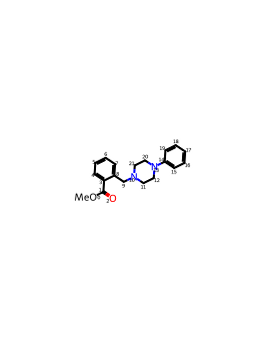 COC(=O)c1ccccc1CN1CCN(c2ccccc2)CC1